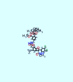 CNC(=O)c1c(-c2ccc(F)c(F)c2)oc2cc(CS(=O)(=O)NCc3ccc(B4OC(C)(C)C(C)(C)O4)c(C(=O)OC)c3)c(C3CC3)cc12